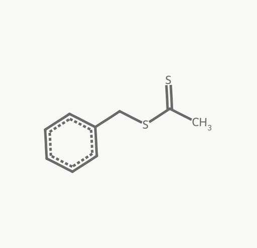 CC(=S)SCc1ccccc1